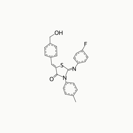 Cc1ccc(N2C(=O)C(=Cc3ccc(CO)cc3)SC2=Nc2ccc(F)cc2)cc1